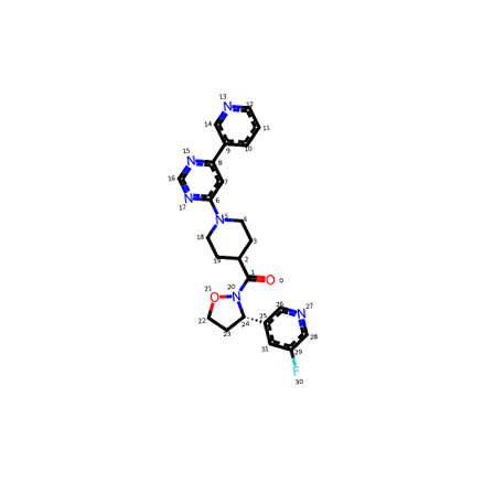 O=C(C1CCN(c2cc(-c3cccnc3)ncn2)CC1)N1OCC[C@H]1c1cncc(F)c1